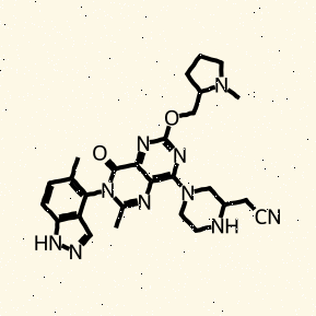 Cc1ccc2[nH]ncc2c1-n1c(C)nc2c(N3CCNC(CC#N)C3)nc(OCC3CCCN3C)nc2c1=O